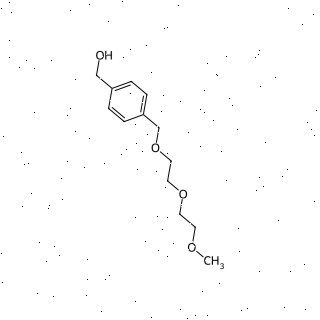 COCCOCCOCc1ccc(CO)cc1